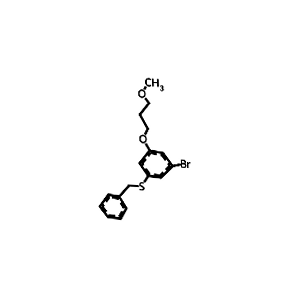 COCCCOc1cc(Br)cc(SCc2ccccc2)c1